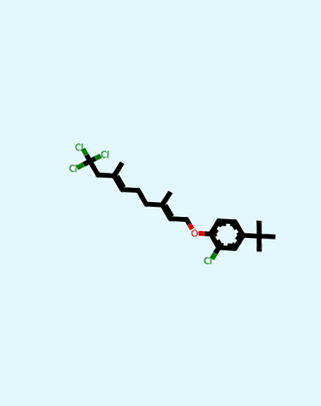 C/C(=C\COc1ccc(C(C)(C)C)cc1Cl)CC/C=C(\C)CC(Cl)(Cl)Cl